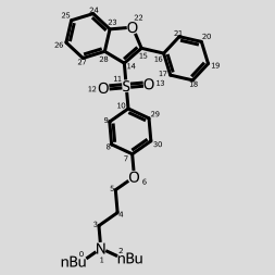 CCCCN(CCCC)CCCOc1ccc(S(=O)(=O)c2c(-c3ccccc3)oc3ccccc23)cc1